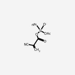 C=C(C#N)C(=O)O[Si]([O])(CCC)OC(C)=O